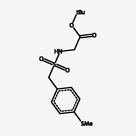 CSc1ccc(CS(=O)(=O)NCC(=O)OC(C)(C)C)cc1